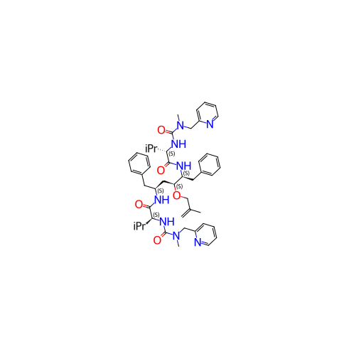 C=C(C)CO[C@@H](C[C@H](Cc1ccccc1)NC(=O)[C@@H](NC(=O)N(C)Cc1ccccn1)C(C)C)[C@H](Cc1ccccc1)NC(=O)[C@@H](NC(=O)N(C)Cc1ccccn1)C(C)C